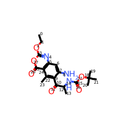 CCOc1nc2cc(N)c(C(=O)C(C)NC(=O)OC(C)(C)C)c(C)c2c(=O)o1